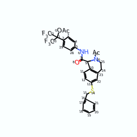 CC(=O)OC(c1ccc(NC(=O)C2c3ccc(SCc4ccccc4)cc3CCN2C(C)=O)cc1)(C(F)(F)F)C(F)(F)F